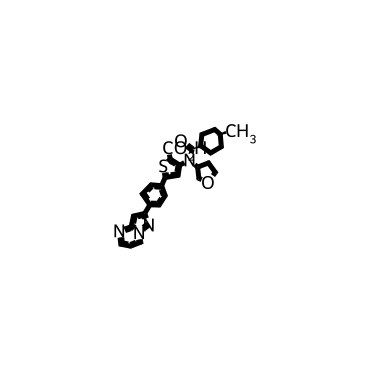 C[C@H]1CC[C@H](C(=O)N(c2cc(-c3ccc(-c4cc5ncccn5n4)cc3)sc2C(=O)O)C2CCOC2)CC1